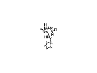 Clc1nc(NCc2ccnnc2)c2nc[nH]c2n1